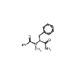 CC(C)C(=O)N(C)[C@@H](Cc1ccccc1)C(N)=O